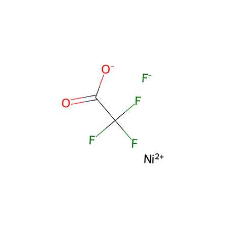 O=C([O-])C(F)(F)F.[F-].[Ni+2]